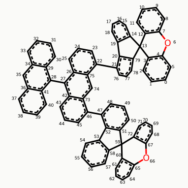 c1ccc2c(c1)Oc1ccccc1C21c2ccccc2-c2c(-c3cccc4c(-c5c6ccccc6cc6ccccc56)c5cccc(-c6cccc7c6-c6ccccc6C76c7ccccc7Oc7ccccc76)c5cc34)cccc21